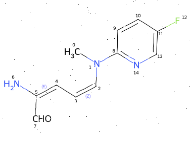 CN(/C=C\C=C(\N)C=O)c1ccc(F)cn1